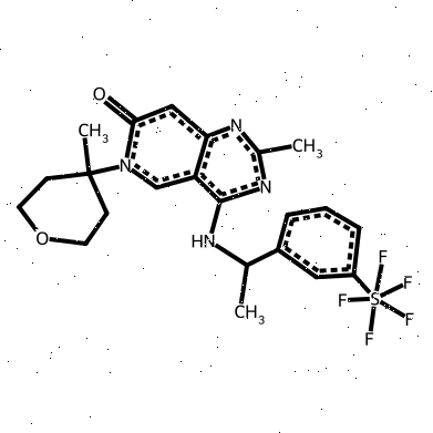 Cc1nc(NC(C)c2cccc(S(F)(F)(F)(F)F)c2)c2cn(C3(C)CCOCC3)c(=O)cc2n1